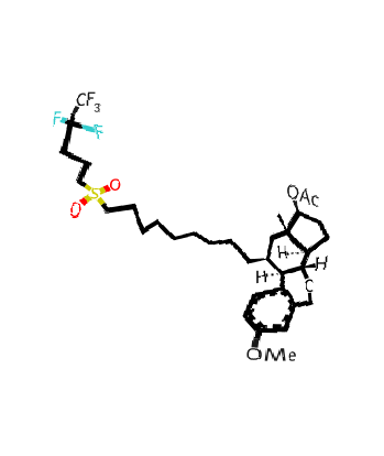 COc1ccc2c(c1)CC[C@@H]1[C@@H]2[C@@H](CCCCCCCCCS(=O)(=O)CCCC(F)(F)C(F)(F)F)C[C@]2(C)[C@@H](OC(C)=O)CC[C@@H]12